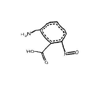 Nc1cccc(N=O)c1C(=O)O